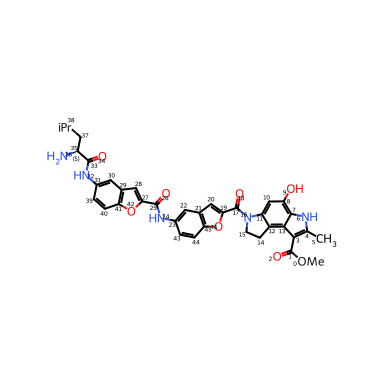 COC(=O)c1c(C)[nH]c2c(O)cc3c(c12)CCN3C(=O)c1cc2cc(NC(=O)c3cc4cc(NC(=O)[C@@H](N)CC(C)C)ccc4o3)ccc2o1